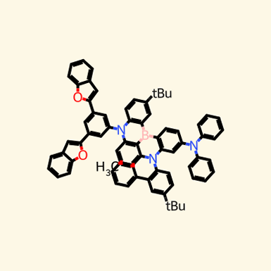 Cc1cc2c3c(c1)N(c1ccc(C(C)(C)C)cc1-c1ccccc1)c1cc(N(c4ccccc4)c4ccccc4)ccc1B3c1cc(C(C)(C)C)ccc1N2c1cc(-c2cc3ccccc3o2)cc(-c2cc3ccccc3o2)c1